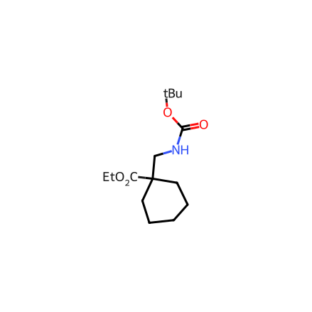 CCOC(=O)C1(CNC(=O)OC(C)(C)C)CCCCC1